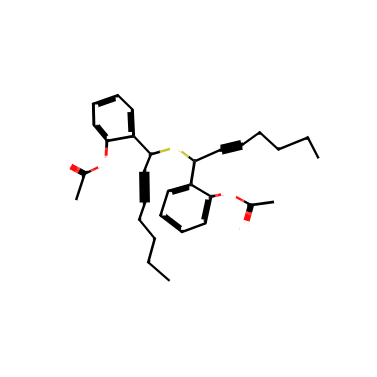 CCCCC#CC(SC(C#CCCCC)c1ccccc1OC(C)=O)c1ccccc1OC(C)=O